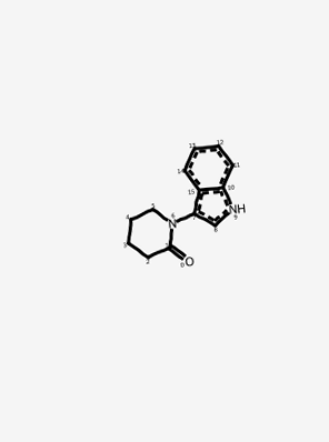 O=C1CCCCN1c1c[nH]c2ccccc12